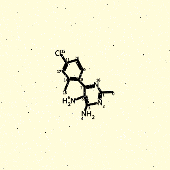 Cc1nc(N)c(N)c(-c2ccc(Cl)cc2C)n1